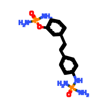 NP(N)(=O)Nc1ccc(C=Cc2cccc(OP(N)(N)=O)c2)cc1